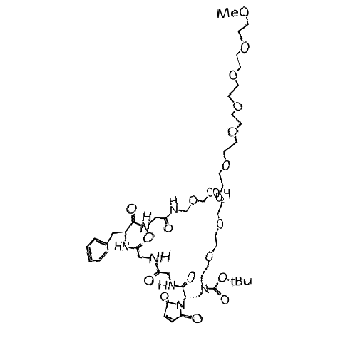 COCCOCCOCCOCCOCCOCCOCCOCCOCCN(C[C@@H](C(=O)NCC(=O)NCC(=O)N[C@@H](Cc1ccccc1)C(=O)NCC(=O)NCOCC(=O)O)N1C(=O)C=CC1=O)C(=O)OC(C)(C)C